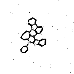 C1=CC2=C3B(c4c(oc5ccccc45)N(c4ccccc4)C3=CC1)c1cccc3c4ccccc4n2c13